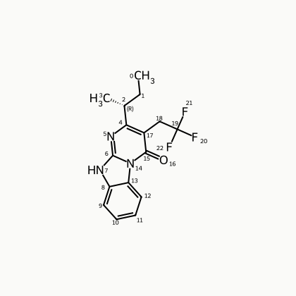 CC[C@@H](C)c1nc2[nH]c3ccccc3n2c(=O)c1CC(F)(F)F